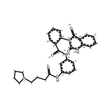 O=C(CCCN1CCCC1)Nc1cccc(NC(=O)c2ccccc2-n2c(=O)[nH]c3ccccc3c2=O)c1